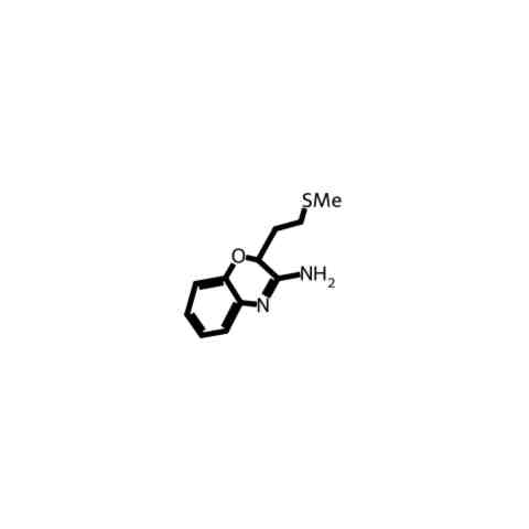 CSCCC1Oc2ccccc2N=C1N